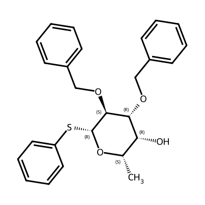 C[C@@H]1O[C@H](Sc2ccccc2)[C@@H](OCc2ccccc2)[C@H](OCc2ccccc2)[C@@H]1O